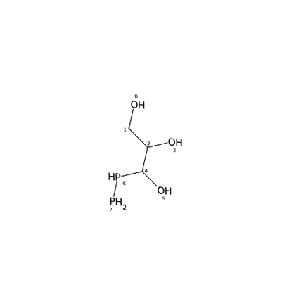 OCC(O)C(O)PP